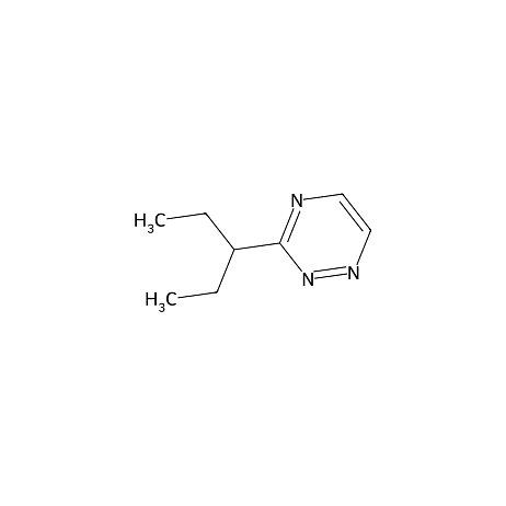 CCC(CC)c1nccnn1